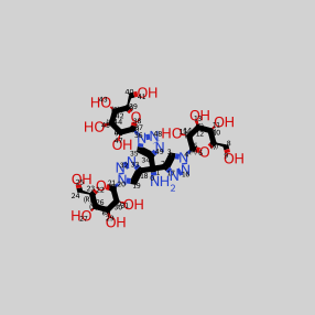 NC(c1cn([C@@H]2O[C@H](CO)[C@@H](O)[C@H](O)[C@H]2O)nn1)(c1cn([C@@H]2O[C@H](CO)[C@@H](O)[C@H](O)[C@H]2O)nn1)c1cn([C@@H]2O[C@H](CO)[C@@H](O)[C@H](O)[C@H]2O)nn1